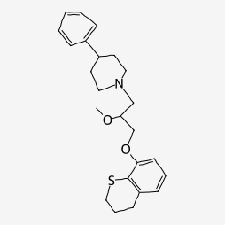 COC(COc1cccc2c1SCCC2)CN1CCC(c2ccccc2)CC1